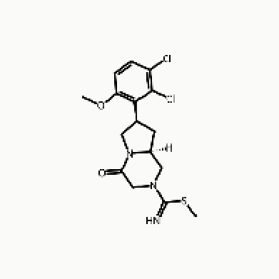 COc1ccc(Cl)c(Cl)c1[C@H]1C[C@H]2CN(C(=N)SC)CC(=O)N2C1